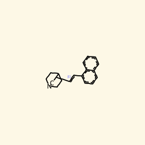 C(=C\C1CN2CCC1CC2)/c1cccc2ccccc12